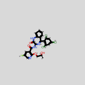 C[C@H](O)COc1ncc(F)cc1C(=O)NC1N=C(c2c(Cl)cc(Cl)cc2Cl)c2ccccc2NC1=O